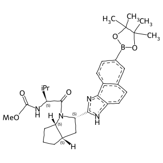 COC(=O)N[C@H](C(=O)N1[C@H](c2nc3c(ccc4cc(B5OC(C)(C)C(C)(C)O5)ccc43)[nH]2)C[C@@H]2CCC[C@@H]21)C(C)C